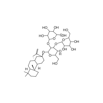 C=C1C[C@@]23CC[C@@H]4C(C)(C)CCC[C@@]4(C)[C@@H]2CC[C@]1(OC1OC(CO)C(O)C(OC2OC(CO)C(O)C(O)C2O)C1OC1OC(CO)C(O)C(O)C1O)C3